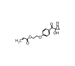 C=CC(=O)OCCOc1ccc(C(=O)C2(O)CN2)cc1